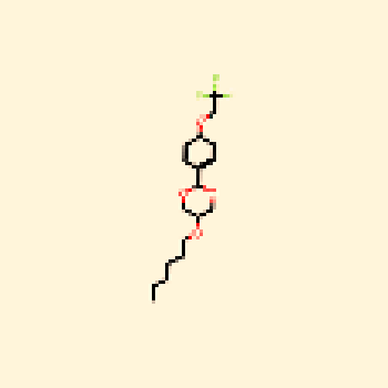 CCCCCCOC1COC(C2=CCC(OCC(F)(F)F)C=C2)OC1